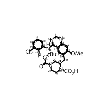 COc1cc2ncnc(Nc3cccc(Cl)c3F)c2cc1C[C@@H]1CN(C(=O)OC(C)(C)C)CCN1C(=O)O